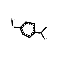 CC(=O)N(C)c1ccc(OC(F)(F)F)cc1